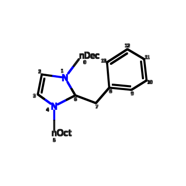 CCCCCCCCCCN1C=CN(CCCCCCCC)C1Cc1ccccc1